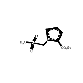 CCOC(=O)c1cccn1CS(C)(=O)=O